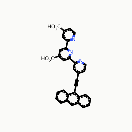 O=C(O)c1ccnc(-c2cc(C(=O)O)cc(-c3cc(C#Cc4c5ccccc5cc5ccccc45)ccn3)n2)c1